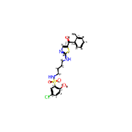 COc1ccc(Cl)cc1S(=O)(=O)NCCCCNc1ncc(C(=O)c2ccccc2C)s1